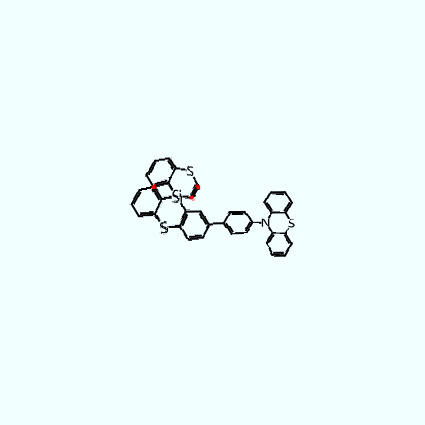 c1ccc2c(c1)Sc1ccccc1N2c1ccc(-c2ccc3c(c2)[Si]2(c4ccccc4Sc4ccccc42)c2ccccc2S3)cc1